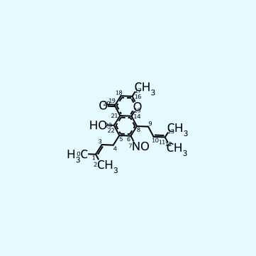 CC(C)=CCc1c(N=O)c(CC=C(C)C)c2oc(C)cc(=O)c2c1O